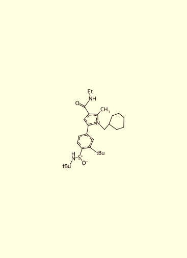 CCNC(=O)c1cc(-c2ccc([S+]([O-])NC(C)(C)C)c(C(C)(C)C)c2)n(CC2CCCCC2)c1C